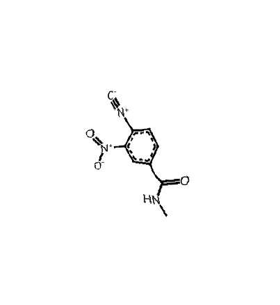 [C-]#[N+]c1ccc(C(=O)NC)cc1[N+](=O)[O-]